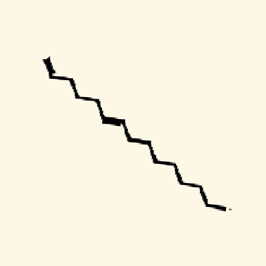 [CH2]CCCCCCCC=CCCCC=C